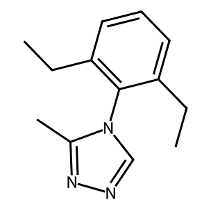 CCc1cccc(CC)c1-n1cnnc1C